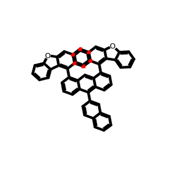 c1ccc2cc(-c3c4cccc(-c5c6ccccc6cc6oc7ccccc7c56)c4cc4c(-c5c6ccccc6cc6oc7ccccc7c56)cccc34)ccc2c1